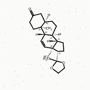 CC1([C@H]2CC[C@H]3[C@@H]4CC[C@@H]5CC(=O)CC[C@]5(C)[C@H]4C=C[C@]23C)OCCO1